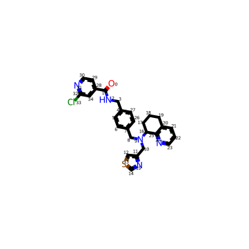 O=C(NCc1ccc(CN(Cc2cscn2)C2CCCc3cccnc32)cc1)c1ccnc(Cl)c1